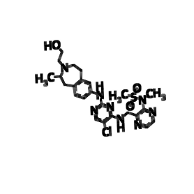 CC1Cc2ccc(Nc3ncc(Cl)c(NCc4nccnc4N(C)S(C)(=O)=O)n3)cc2CCN1CCO